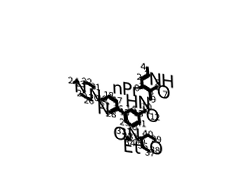 CCCc1cc(C)[nH]c(=O)c1CNC(=O)c1cc(-c2ccc(N3CCN(C)CC3)nc2)cc(N(C(=O)CC)C2CCOCC2)c1